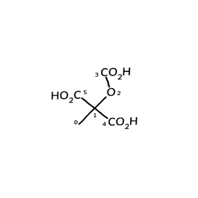 CC(OC(=O)O)(C(=O)O)C(=O)O